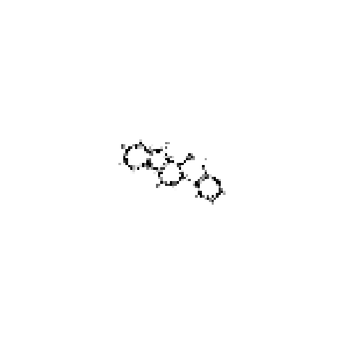 Brc1c(-c2ccccc2I)ccc2c1oc1ccccc12